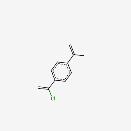 C=C(C)c1ccc(C(=C)Cl)cc1